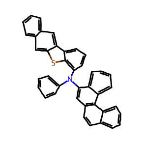 c1ccc(N(c2cc3ccc4ccccc4c3c3ccccc23)c2cccc3c2sc2cc4ccccc4cc23)cc1